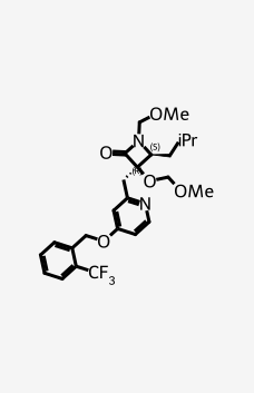 COCO[C@@]1(Cc2cc(OCc3ccccc3C(F)(F)F)ccn2)C(=O)N(COC)[C@H]1CC(C)C